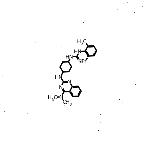 Cc1cccc(C(C)C)c1NC(=S)NC1CCC(Nc2nc(N(C)C)c3ccccc3n2)CC1